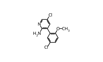 COc1ccc(Cl)cc1-c1cc(Cl)cnc1N